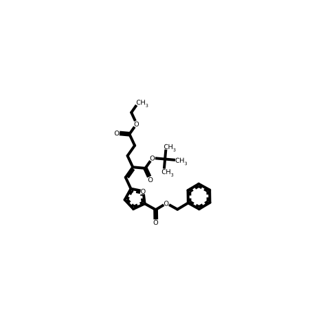 CCOC(=O)CCC(=Cc1ccc(C(=O)OCc2ccccc2)o1)C(=O)OC(C)(C)C